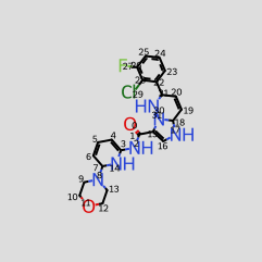 O=C(NC1=CC=CC(N2CCOCC2)N1)C1=CNC2C=CC(c3cccc(F)c3Cl)NN12